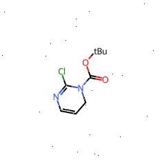 CC(C)(C)OC(=O)N1CC=CN=C1Cl